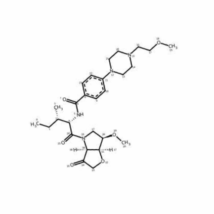 CC[C@H](C)[C@H](NC(=O)c1ccc(N2CCN(CCOC)CC2)cc1)C(=O)N1C[C@@H](OC)[C@H]2OCC(=O)[C@H]21